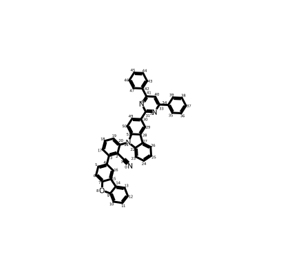 N#Cc1c(-c2ccc3oc4ccccc4c3c2)cccc1-n1c2ccccc2c2cc(-c3nc(-c4ccccc4)cc(-c4ccccc4)n3)ccc21